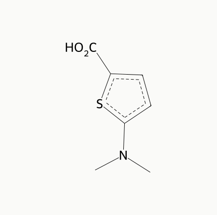 CN(C)c1ccc(C(=O)O)s1